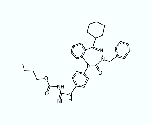 CCCCOC(=O)NC(=N)Nc1ccc(N2C(=O)N(Cc3ccccc3)N=C(C3CCCCC3)c3ccccc32)cc1